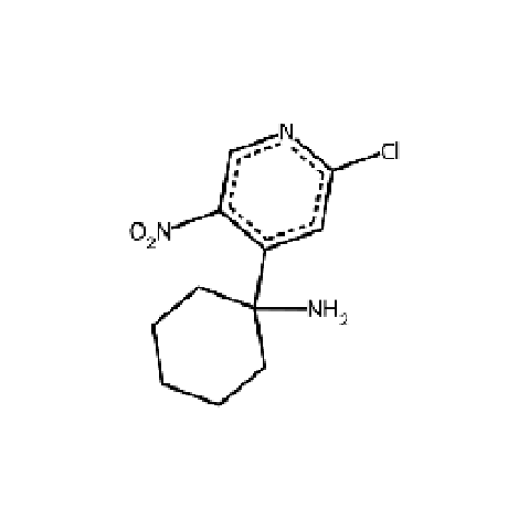 NC1(c2cc(Cl)ncc2[N+](=O)[O-])CCCCC1